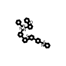 c1ccc(-c2nc(-c3cccc(-c4cccc5c4sc4ccc(-c6ccc(-c7nc8ccccc8s7)cc6)cc45)c3)nc(-c3cccc4oc5ccccc5c34)n2)cc1